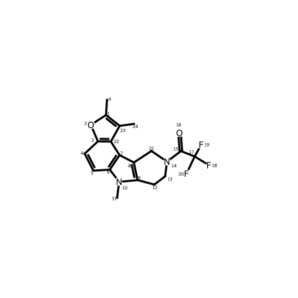 Cc1oc2ccc3c(c4c(n3C)CCN(C(=O)C(F)(F)F)C4)c2c1C